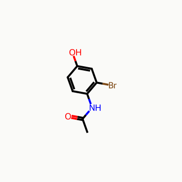 CC(=O)Nc1ccc(O)cc1Br